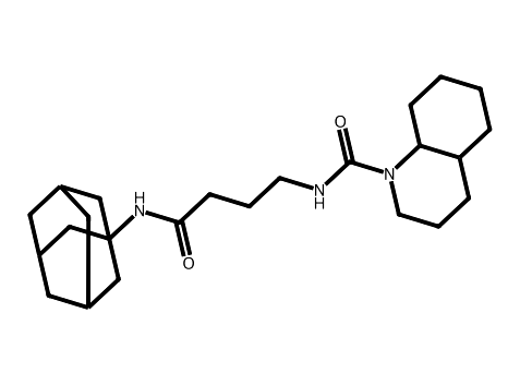 O=C(CCCNC(=O)N1CCCC2CCCCC21)NC12CC3CC(CC(C3)C1)C2